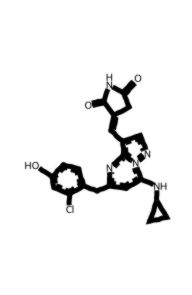 O=C1C/C(=C\c2cnn3c(NC4CC4)cc(Cc4ccc(O)cc4Cl)nc23)C(=O)N1